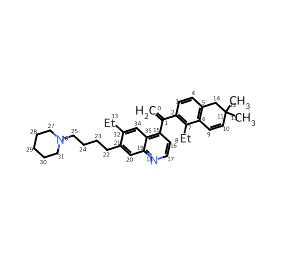 C=C(c1ccc2c(c1CC)C=CC(C)(C)C2)c1ccnc2cc(CCCCN3CCCCC3)c(CC)cc12